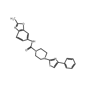 Cc1nc2ccc(NC(=O)N3CCN(c4nc(-c5ccccc5)cs4)CC3)cc2o1